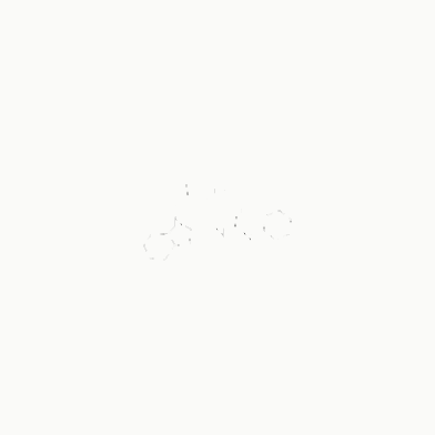 Cc1cccc(NC(=O)N2CCc3c(n(CC(=O)OC(C)(C)C)c4ccccc34)C2)c1